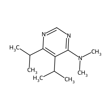 CC(C)c1ncnc(N(C)C)c1C(C)C